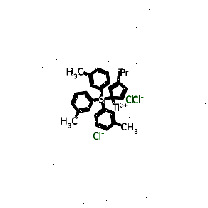 Cc1cccc([Si](c2cccc(C)c2)(c2cccc(C)c2)[C]2([Ti+3])C=CC(C(C)C)=C2)c1.[Cl-].[Cl-].[Cl-]